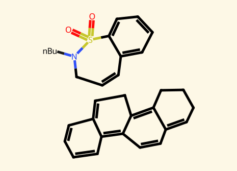 C1=c2ccc3c(c2CCC1)CC=c1ccccc1=3.CCCCN1CC=Cc2ccccc2S1(=O)=O